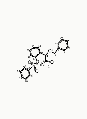 NC(=O)C(OCc1ccccc1)c1ccccc1OS(=O)(=O)c1ccccc1